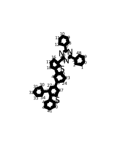 c1ccc(-c2nc(-c3ccccc3)nc(-c3cccc4c3sc3ccc(-c5cc(-c6ccccc6)c6c(c5)sc5ccccc56)cc34)n2)cc1